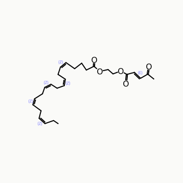 CC/C=C\C/C=C\C/C=C\C/C=C\C/C=C\CCCC(=O)OCCOC(=O)/C=C/C(C)=O